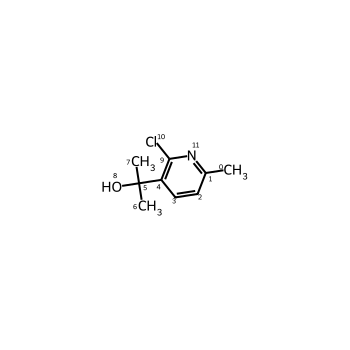 Cc1ccc(C(C)(C)O)c(Cl)n1